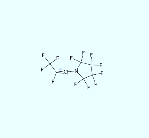 F/[C](=[Cf]\[N]1C(F)(F)C(F)(F)C(F)(F)C1(F)F)C(F)(F)F